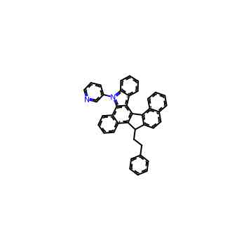 c1ccc(CCC2c3ccc4ccccc4c3-c3c2c2ccccc2c2c3c3ccccc3n2-c2cccnc2)cc1